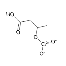 CC(CC(=O)O)O[Cl+2]([O-])[O-]